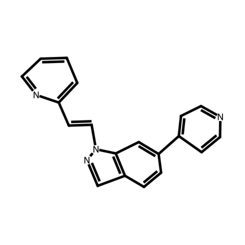 C(=Cn1ncc2ccc(-c3ccncc3)cc21)c1ccccn1